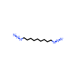 [N-]=[N+]=NCCCCCCCCCN=[N+]=[N-]